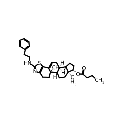 CCCC(=O)O[C@H]1CC[C@H]2[C@@H]3CC=C4c5sc(NCCc6ccccc6)nc5CC[C@]4(C)[C@H]3CC[C@]12C